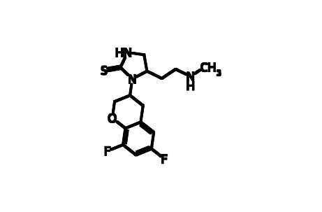 CNCCC1CNC(=S)N1C1COc2c(F)cc(F)cc2C1